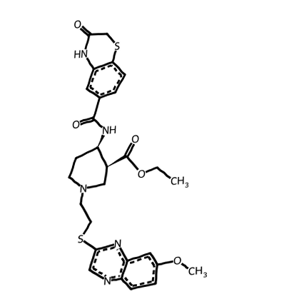 CCOC(=O)[C@H]1CN(CCSc2cnc3ccc(OC)cc3n2)CC[C@H]1NC(=O)c1ccc2c(c1)NC(=O)CS2